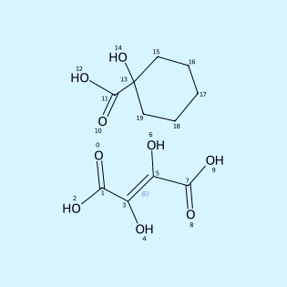 O=C(O)/C(O)=C(\O)C(=O)O.O=C(O)C1(O)CCCCC1